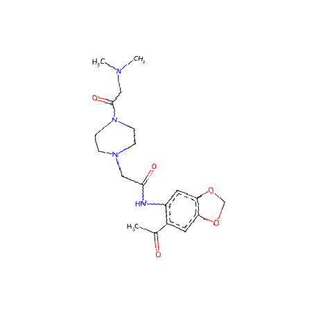 CC(=O)c1cc2c(cc1NC(=O)CN1CCN(C(=O)CN(C)C)CC1)OCO2